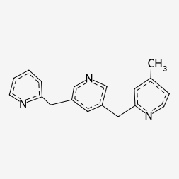 Cc1ccnc(Cc2cncc(Cc3ccccn3)c2)c1